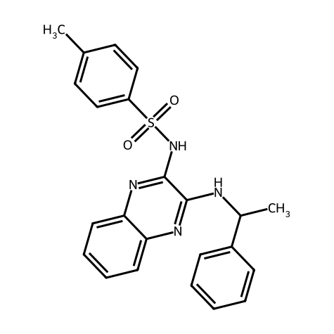 Cc1ccc(S(=O)(=O)Nc2nc3ccccc3nc2NC(C)c2ccccc2)cc1